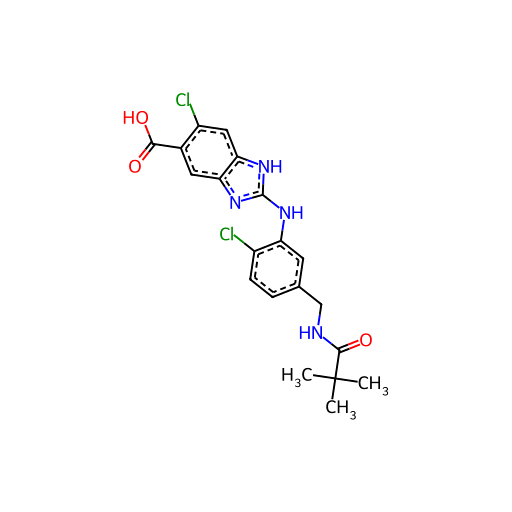 CC(C)(C)C(=O)NCc1ccc(Cl)c(Nc2nc3cc(C(=O)O)c(Cl)cc3[nH]2)c1